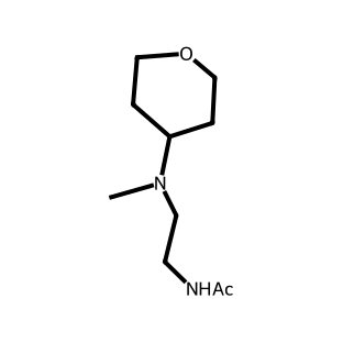 CC(=O)NCCN(C)C1CCOCC1